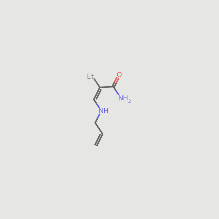 C=CCNC=C(CC)C(N)=O